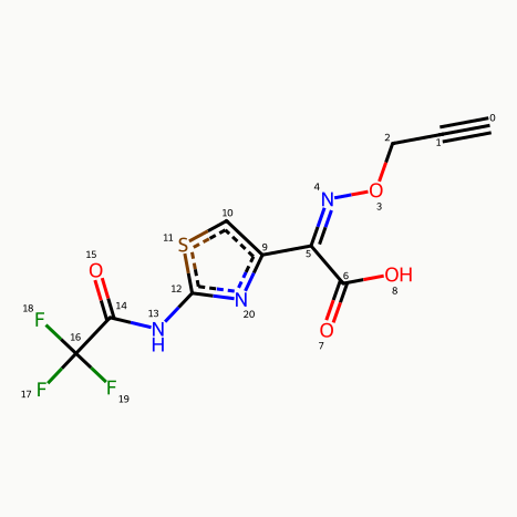 C#CCON=C(C(=O)O)c1csc(NC(=O)C(F)(F)F)n1